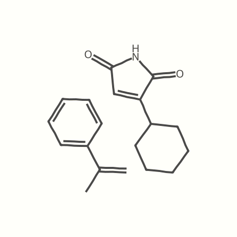 C=C(C)c1ccccc1.O=C1C=C(C2CCCCC2)C(=O)N1